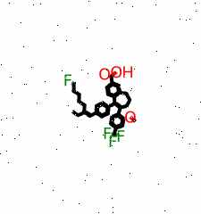 CC/C(=C/c1ccc(C2=C(c3ccc(C(F)(F)F)cc3OC)CCCc3cc(C(=O)O)ccc32)cc1)CCCCCF